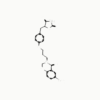 O=C1NC(=O)C(Cc2ccc(OCCCN3COc4ccc([N+](=O)[O-])cc4C3=O)cc2)S1